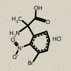 CC(N)(C(=O)O)c1cccc(Br)c1[N+](=O)[O-].Cl